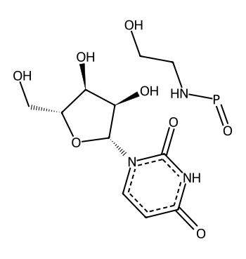 O=PNCCO.O=c1ccn([C@@H]2O[C@H](CO)[C@@H](O)[C@H]2O)c(=O)[nH]1